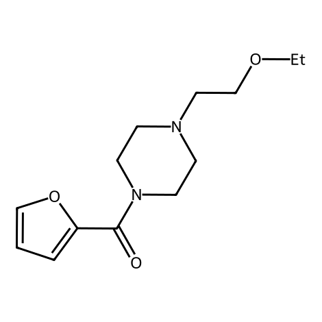 CCOCCN1CCN(C(=O)c2ccco2)CC1